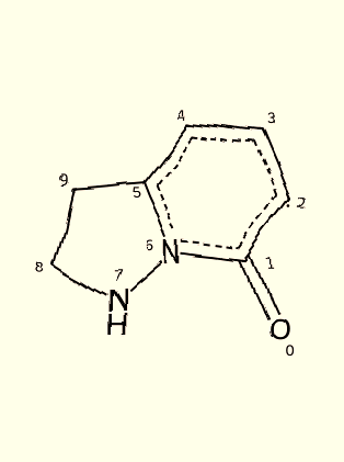 O=c1[c]ccc2n1NCC2